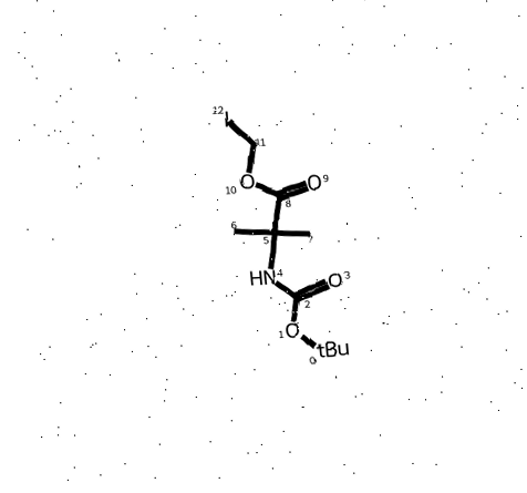 CC(C)(C)OC(=O)NC(C)(C)C(=O)OCI